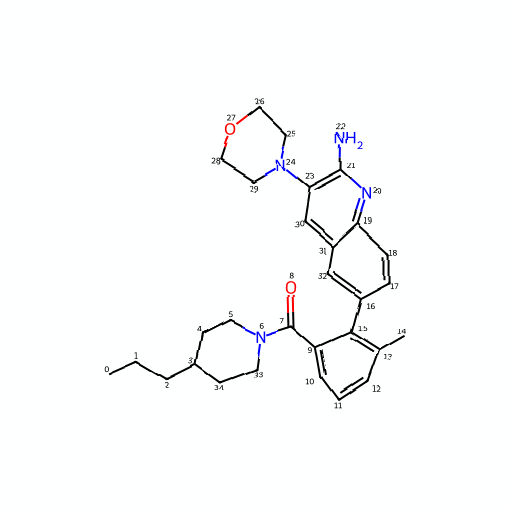 CCCC1CCN(C(=O)c2cccc(C)c2-c2ccc3nc(N)c(N4CCOCC4)cc3c2)CC1